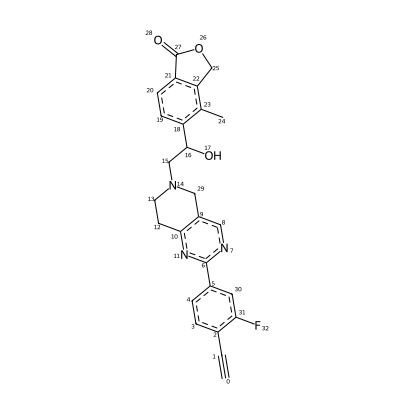 C#Cc1ccc(-c2ncc3c(n2)CCN(CC(O)c2ccc4c(c2C)COC4=O)C3)cc1F